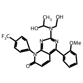 COc1ccccc1-c1nc(N(CO)C(C)O)nc2c1ccc(=O)n2-c1ccc(C(F)(F)F)cc1